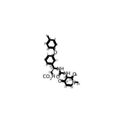 Cc1ccc(Oc2cccc([C@H](CC(=O)O)NC(=O)NC3C(=O)C=CN(C)C3=O)c2)cc1